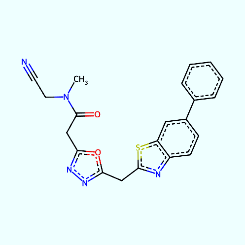 CN(CC#N)C(=O)Cc1nnc(Cc2nc3ccc(-c4ccccc4)cc3s2)o1